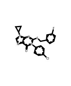 O=c1c2ncn(C3CC3)c2nc(SCc2cccc(F)c2)n1-c1ccc(Cl)cc1